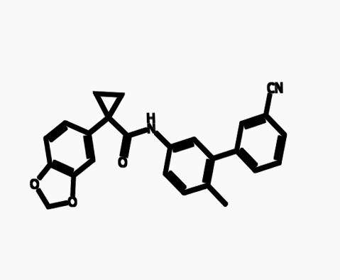 Cc1ccc(NC(=O)C2(c3ccc4c(c3)OCO4)CC2)cc1-c1cccc(C#N)c1